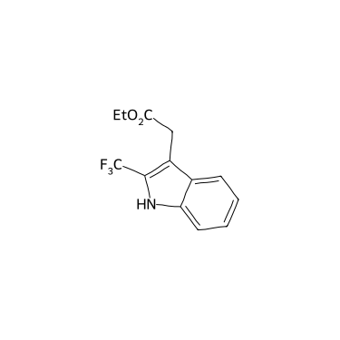 CCOC(=O)Cc1c(C(F)(F)F)[nH]c2ccccc12